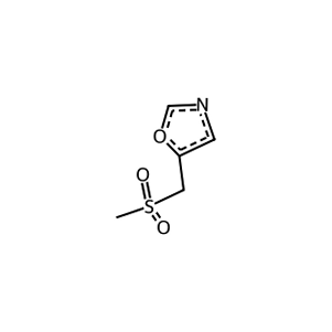 CS(=O)(=O)Cc1cnco1